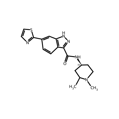 CC1C[C@@H](NC(=O)c2n[nH]c3cc(-c4nccs4)ccc23)CCN1C